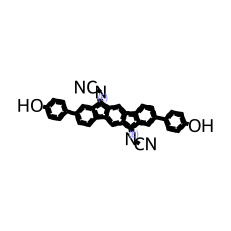 N#C/N=c1\c2cc(-c3ccc(O)cc3)ccc2c2cc3/c(=N/C#N)c4cc(-c5ccc(O)cc5)ccc4c3cc12